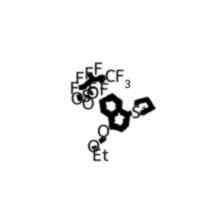 CCOCOc1ccc([S+]2CCCC2)c2ccccc12.O=S(=O)([O-])C(F)(F)C(F)(F)C(F)(F)C(F)(F)F